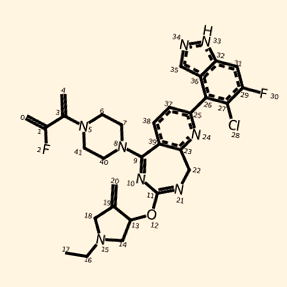 C=C(F)C(=C)N1CCN(C2=NC(OC3CN(CC)CC3=C)=NCc3nc(-c4c(Cl)c(F)cc5[nH]ncc45)ccc32)CC1